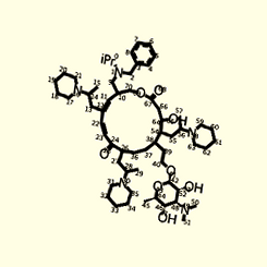 CC(C)N(Cc1ccccc1)CC1C=C(CC(C)N2CCCCC2)C=CC(=O)C(CC(C)N2CCCCC2)CCC(CCO[C@@H]2O[C@H](C)[C@@H](O)[C@H](N(C)C)[C@H]2O)C(CC(C)N2CCCCC2)C(O)CC(=O)OC1